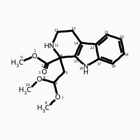 COC(=O)C1(CC(OC)OC)NCCc2c1[nH]c1ccccc21